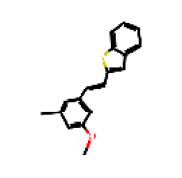 COc1cc(C)cc(/C=C/c2cc3ccccc3s2)c1